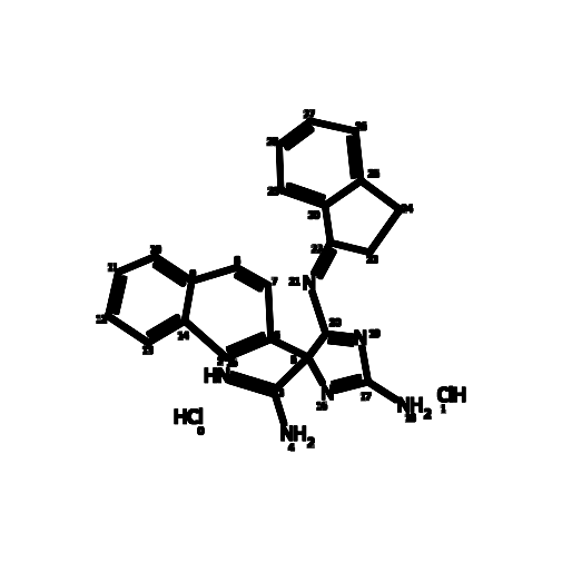 Cl.Cl.N=C(N)C1(c2ccc3ccccc3c2)N=C(N)N=C1N=C1CCc2ccccc21